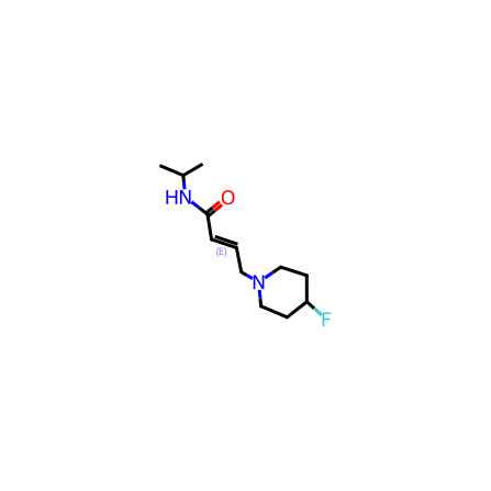 CC(C)NC(=O)/C=C/CN1CCC(F)CC1